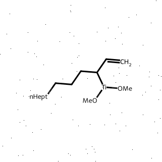 C=C[CH](CCCCCCCCCC)[Ti]([O]C)[O]C